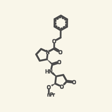 CCCO[C@H]1OC(=O)C[C@@H]1NC(=O)[C@@H]1CCCN1C(=O)OCc1ccccc1